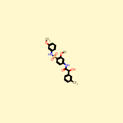 CCOc1cc(NC(=O)C(O)c2cccc(C(F)(F)F)c2)ccc1S(=O)(=O)Nc1cccc(OC(F)(F)F)c1